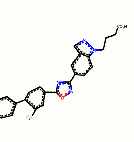 O=C(O)CCCn1ncc2cc(-c3noc(-c4ccc(-c5ccccc5)c(C(F)(F)F)c4)n3)ccc21